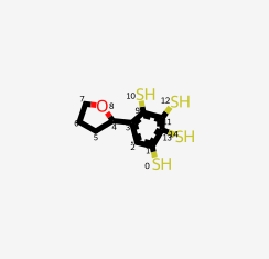 Sc1[c]c(C2CCCO2)c(S)c(S)c1S